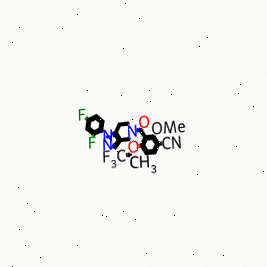 COc1c(C#N)ccc(OC(C)C(F)(F)F)c1C(=O)N1CCc2c(cnn2-c2ccc(F)cc2F)C1